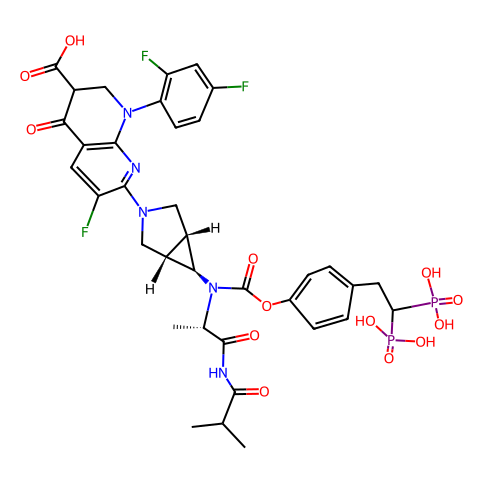 CC(C)C(=O)NC(=O)[C@H](C)N(C(=O)Oc1ccc(CC(P(=O)(O)O)P(=O)(O)O)cc1)[C@H]1[C@@H]2CN(c3nc4c(cc3F)C(=O)C(C(=O)O)CN4c3ccc(F)cc3F)C[C@@H]21